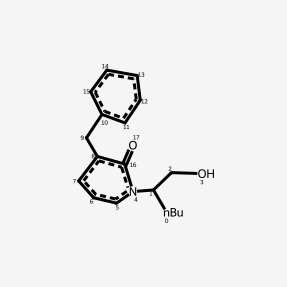 CCCCC(CO)n1cccc(Cc2ccccc2)c1=O